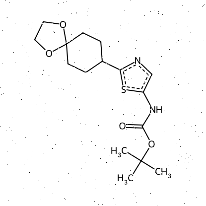 CC(C)(C)OC(=O)Nc1cnc(C2CCC3(CC2)OCCO3)s1